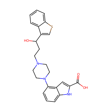 O=C(O)c1cc2c(N3CCN(CCC(O)c4csc5ccccc45)CC3)cccc2[nH]1